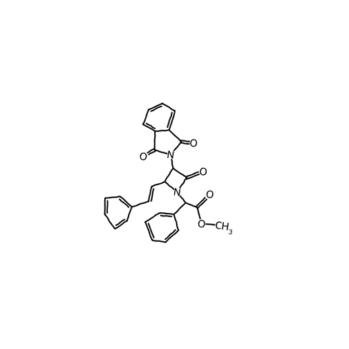 COC(=O)C(c1ccccc1)N1C(=O)C(N2C(=O)c3ccccc3C2=O)C1/C=C/c1ccccc1